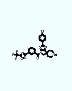 CN1CCC(CNC(=O)c2cccc(-c3noc(C(F)(F)F)n3)c2)(c2csc(-c3ccc(Cl)cc3)n2)CC1